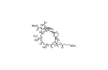 CCCCCCCCCCCCCC(=O)OCC(C)(C)[C@@H]1C[C@@H]2CCO[C@H](/C=C/C(C)(C)[C@]3(O)O[C@@H](C/C(=C\C(=O)OC)[C@@H]3OC(=O)CC)C[C@H]([C@@H](C)O)OC(=O)C[C@H](O)CC(=O)O1)O2